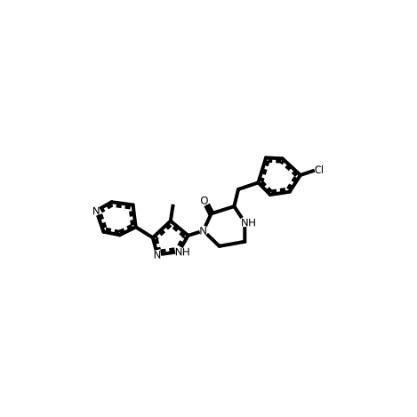 Cc1c(-c2ccncc2)n[nH]c1N1CCNC(Cc2ccc(Cl)cc2)C1=O